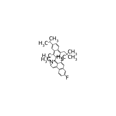 Cc1c2c(c(CC(C)(C)C)c3ccc(C(C)C)cc13)Sc1cc3cc(F)ccc3c3cc[n+](C)c-2c13